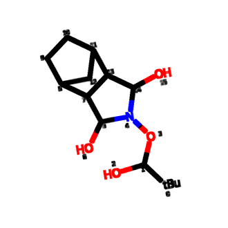 CC(C)(C)C(O)ON1C(O)C2C3CCC(C3)C2C1O